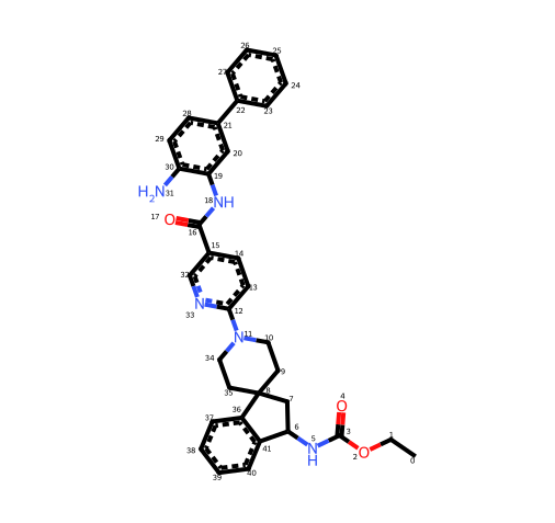 CCOC(=O)NC1CC2(CCN(c3ccc(C(=O)Nc4cc(-c5ccccc5)ccc4N)cn3)CC2)c2ccccc21